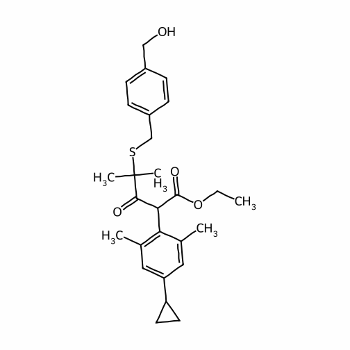 CCOC(=O)C(C(=O)C(C)(C)SCc1ccc(CO)cc1)c1c(C)cc(C2CC2)cc1C